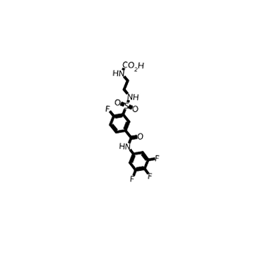 O=C(O)NCCNS(=O)(=O)c1cc(C(=O)Nc2cc(F)c(F)c(F)c2)ccc1F